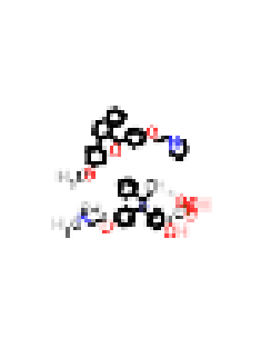 CC/C(=C(\c1ccc(O)cc1)c1ccc(OCCN(C)C)cc1)c1ccccc1.COc1ccc(C2=C(C(=O)c3ccc(OCCN4CCCC4)cc3)c3ccccc3CC2)cc1.CS(=O)(=O)O